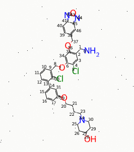 NCc1cc(Cl)c(OCc2cccc(-c3cccc(OCCCCN4CCC(O)CC4)c3)c2Cl)cc1OCc1ccc2nonc2c1